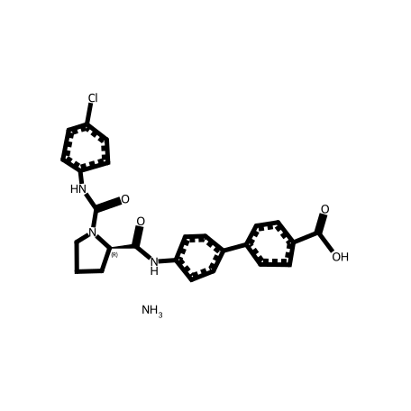 N.O=C(O)c1ccc(-c2ccc(NC(=O)[C@H]3CCCN3C(=O)Nc3ccc(Cl)cc3)cc2)cc1